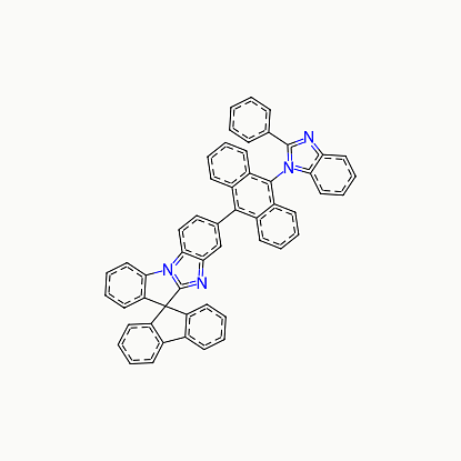 c1ccc(-c2nc3ccccc3n2-c2c3ccccc3c(-c3ccc4c(c3)nc3n4-c4ccccc4C34c3ccccc3-c3ccccc34)c3ccccc23)cc1